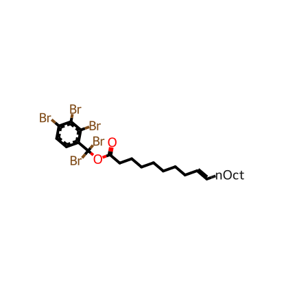 CCCCCCCCC=CCCCCCCCC(=O)OC(Br)(Br)c1ccc(Br)c(Br)c1Br